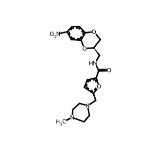 CN1CCN(Cc2ccc(C(=O)NC[C@@H]3COc4ccc([N+](=O)[O-])cc4O3)o2)CC1